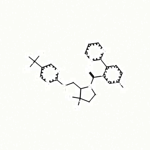 O=C(c1cc(F)ccc1-c1ncccn1)N1CCC(F)(F)C1CNc1ncc(C(F)(F)F)cn1